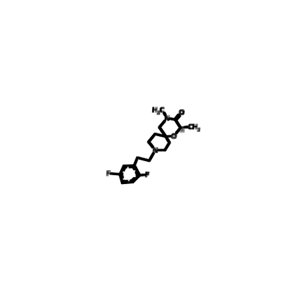 C[C@H]1OC2(CCN(CCc3cc(F)ccc3F)CC2)CN(C)C1=O